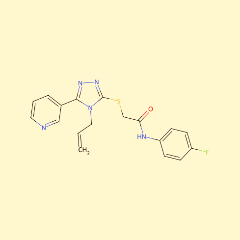 C=CCn1c(SCC(=O)Nc2ccc(F)cc2)nnc1-c1cccnc1